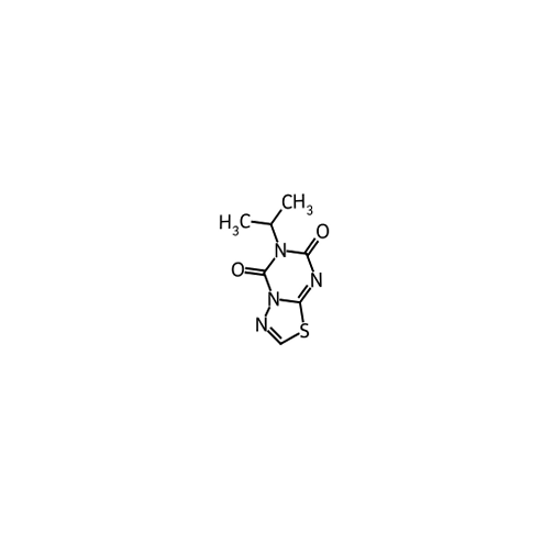 CC(C)n1c(=O)nc2scnn2c1=O